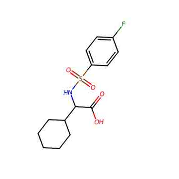 O=C(O)C(NS(=O)(=O)c1ccc(F)cc1)C1CCCCC1